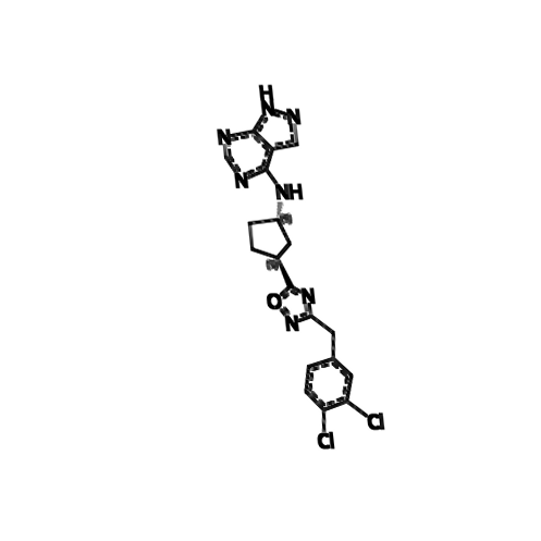 Clc1ccc(Cc2noc([C@H]3CC[C@H](Nc4ncnc5[nH]ncc45)C3)n2)cc1Cl